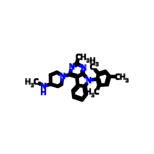 CNC1CCN(c2nc(C)nc3c2c2ccccc2n3-c2c(C)cc(C)cc2C)CC1